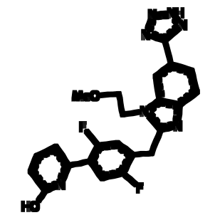 COCCn1c(Cc2cc(F)c(-c3cccc(O)n3)cc2F)nc2ccc(-c3nn[nH]n3)cc21